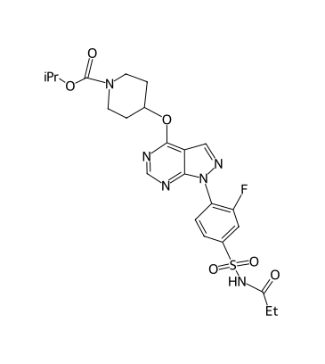 CCC(=O)NS(=O)(=O)c1ccc(-n2ncc3c(OC4CCN(C(=O)OC(C)C)CC4)ncnc32)c(F)c1